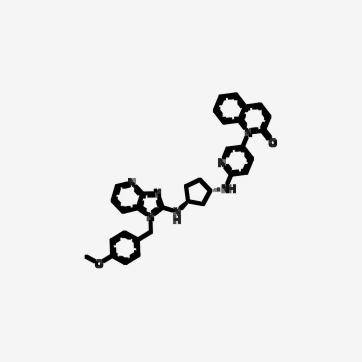 COc1ccc(Cn2c(N[C@H]3CC[C@H](Nc4ccc(-n5c(=O)ccc6ccccc65)cn4)C3)nc3ncccc32)cc1